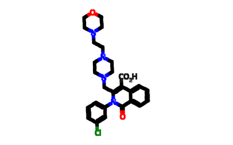 O=C(O)c1c(CN2CCN(CCN3CCOCC3)CC2)n(-c2cccc(Cl)c2)c(=O)c2ccccc12